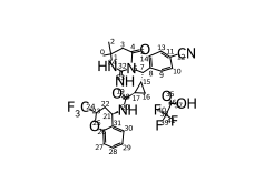 CC1(C)CC(=O)N(C(c2ccc(C#N)cc2)[C@@H]2C[C@H]2C(=O)N[C@@H]2C[C@H](C(F)(F)F)Oc3ccccc32)C(=N)N1.O=C(O)C(F)(F)F